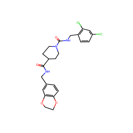 O=C(NCc1ccc2c(c1)OCCO2)C1CCN(C(=O)NCc2ccc(Cl)cc2Cl)CC1